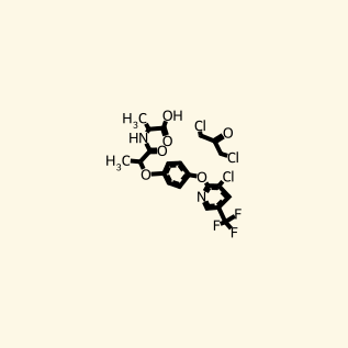 CC(NC(=O)C(C)Oc1ccc(Oc2ncc(C(F)(F)F)cc2Cl)cc1)C(=O)O.O=C(CCl)CCl